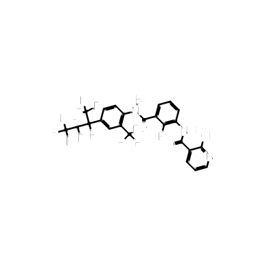 O=C(Nc1cccc(C(=O)N(Br)c2ccc(C(F)(C(F)(F)F)C(F)(F)C(F)(F)F)cc2C(F)(F)F)c1F)c1cccnc1Cl